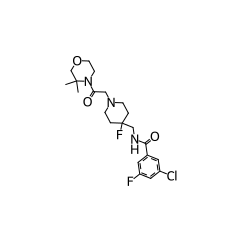 CC1(C)COCCN1C(=O)CN1CCC(F)(CNC(=O)c2cc(F)cc(Cl)c2)CC1